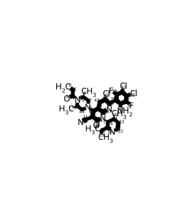 C=CC(=O)N1[C@H](C)CN(c2c(C#N)c(=O)n([C@H]3C(C(C)C)=NC=C[C@H]3C)c3nc(-c4c(N)c(F)c(Cl)c(Cl)c4F)c(Cl)cc23)C[C@@H]1C